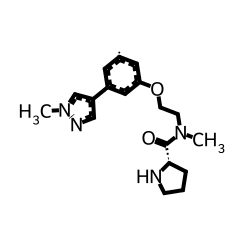 CN(CCOc1c[c]cc(-c2cnn(C)c2)c1)C(=O)[C@@H]1CCCN1